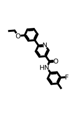 CCOc1cccc(-c2ccc(C(=O)Nc3ccc(C)c(F)c3)cn2)c1